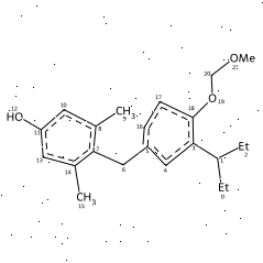 CCC(CC)c1cc(Cc2c(C)cc(O)cc2C)ccc1OCOC